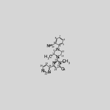 CC1CN(c2ccccc2C#N)CCN1c1nc(-c2ccncn2)cc(=O)n1C